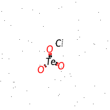 O=[Te](=O)=O.[C]